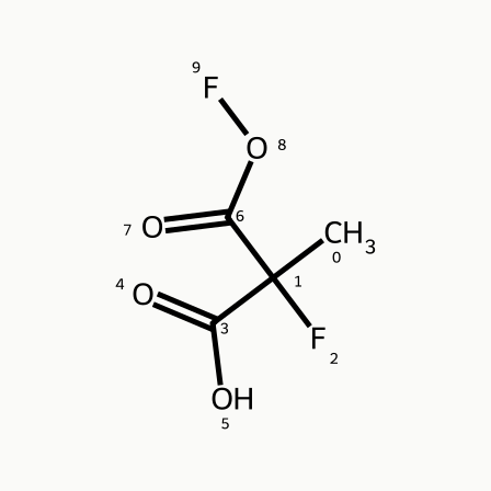 CC(F)(C(=O)O)C(=O)OF